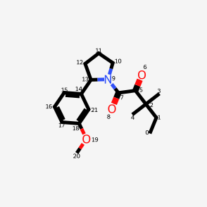 CCC(C)(C)C(=O)C(=O)N1CCCC1c1cccc(OC)c1